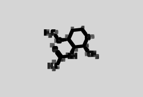 CO[C@H]1CCO[C@@H](C)[C@H]1NC(C)=O